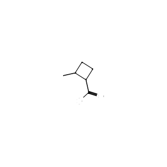 CC1CCC1C([O])=O